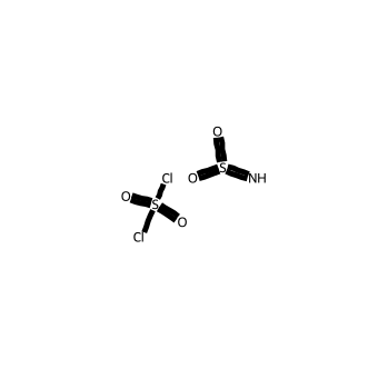 N=S(=O)=O.O=S(=O)(Cl)Cl